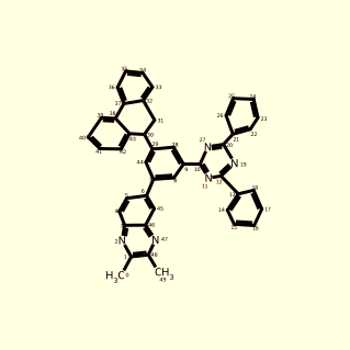 Cc1nc2ccc(-c3cc(-c4nc(-c5ccccc5)nc(-c5ccccc5)n4)cc(C4Cc5ccccc5-c5ccccc54)c3)cc2nc1C